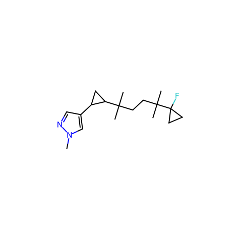 Cn1cc(C2CC2C(C)(C)CCC(C)(C)C2(F)CC2)cn1